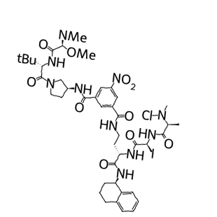 CN[C@@H](OC)C(=O)N[C@H](C(=O)N1CC[C@H](NC(=O)c2cc(C(=O)NCC[C@H](NC(=O)[C@H](I)NC(=O)[C@H](C)N(C)Cl)C(=O)N[C@@H]3CCCc4ccccc43)cc([N+](=O)[O-])c2)C1)C(C)(C)C